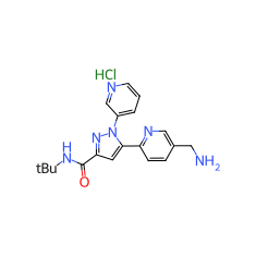 CC(C)(C)NC(=O)c1cc(-c2ccc(CN)cn2)n(-c2cccnc2)n1.Cl